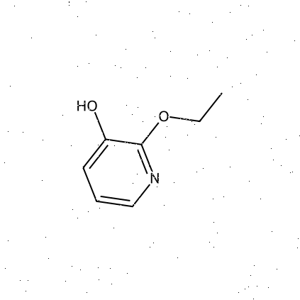 CCOc1ncccc1O